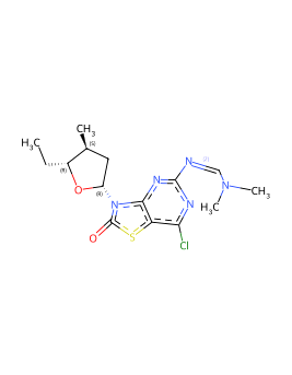 CC[C@H]1O[C@@H](n2c(=O)sc3c(Cl)nc(/N=C\N(C)C)nc32)C[C@@H]1C